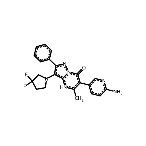 Cc1[nH]c2c(N3CCC(F)(F)C3)c(-c3ccccc3)nn2c(=O)c1-c1ccc(N)nc1